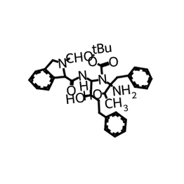 CC(O)C(N)(Cc1ccccc1)N(C(=O)OC(C)(C)C)C(NC(=O)C1c2ccccc2CN1C=O)C(O)CCc1ccccc1